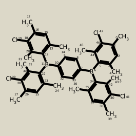 Cc1cc(C)c(B(c2ccc(B(c3c(C)cc(C)c(Cl)c3C)c3c(C)cc(C)c(Cl)c3C)cc2)c2c(C)cc(C)c(Cl)c2C)c(C)c1Cl